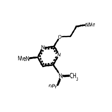 CCCN(C)c1cc(NC)nc(OCCNC)n1